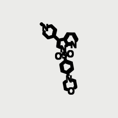 CN1CC=C(c2cn(S(=O)(=O)c3ccc(N4CCOCC4)cc3)c3ncccc23)CC1